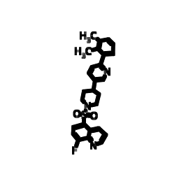 Cc1cccc(-c2ccc(C3CCN(S(=O)(=O)c4ccc(F)c5ncccc45)CC3)cn2)c1C